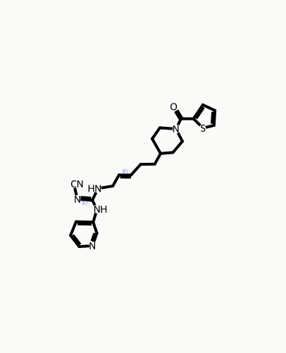 N#C/N=C(\NC/C=C/CCC1CCN(C(=O)c2cccs2)CC1)Nc1cccnc1